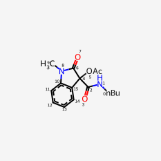 CCCCNC(=O)C1(OC(C)=O)C(=O)N(C)c2ccccc21